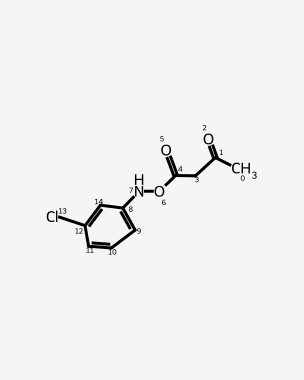 CC(=O)CC(=O)ONc1cccc(Cl)c1